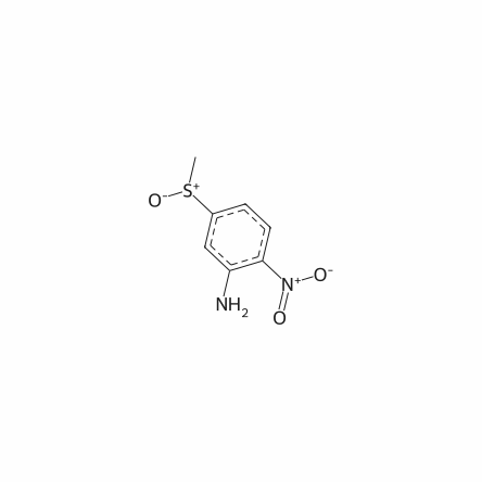 C[S+]([O-])c1ccc([N+](=O)[O-])c(N)c1